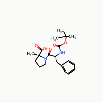 CC(C)(C)OC(=O)N[C@H](Cc1ccccc1)C(=O)N1CCC[C@]1(C)C(=O)O